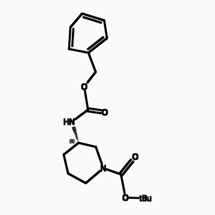 CC(C)(C)OC(=O)N1CCC[C@H](NC(=O)OCc2ccccc2)C1